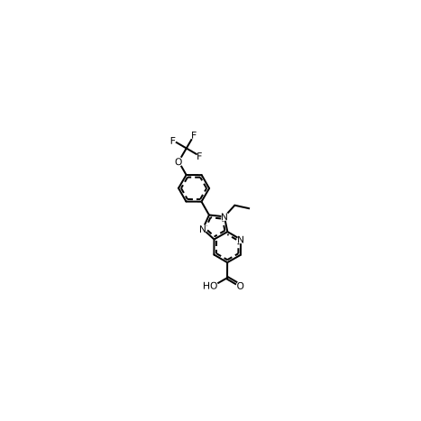 CCn1c(-c2ccc(OC(F)(F)F)cc2)nc2cc(C(=O)O)cnc21